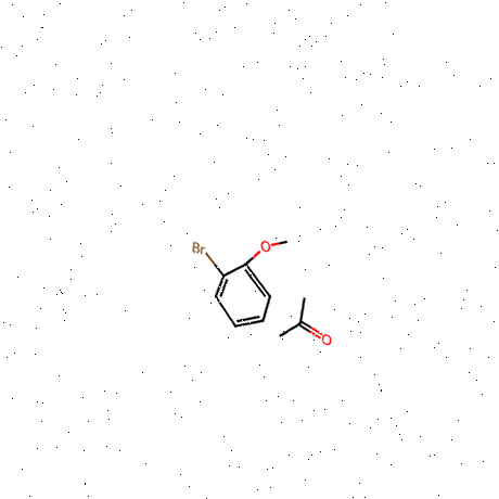 CC(C)=O.COc1ccccc1Br